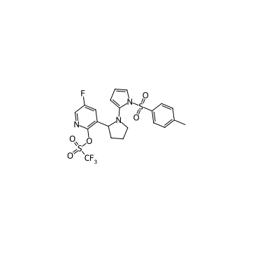 Cc1ccc(S(=O)(=O)n2cccc2N2CCCC2c2cc(F)cnc2OS(=O)(=O)C(F)(F)F)cc1